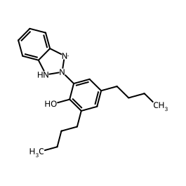 CCCCc1cc(CCCC)c(O)c(N2[N]c3ccccc3N2)c1